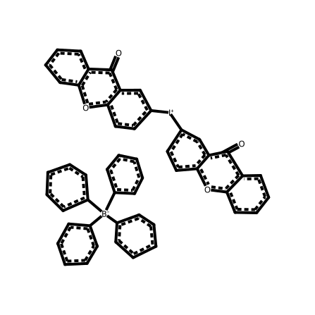 O=c1c2ccccc2oc2ccc([I+]c3ccc4oc5ccccc5c(=O)c4c3)cc12.c1ccc([B-](c2ccccc2)(c2ccccc2)c2ccccc2)cc1